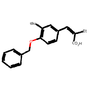 CC/C(=C/c1ccc(OCc2ccccc2)c(C(C)(C)C)c1)C(=O)O